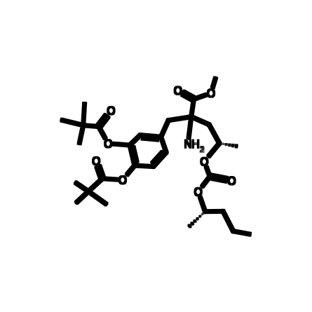 CCC[C@H](C)OC(=O)O[C@@H](C)CC(N)(Cc1ccc(OC(=O)C(C)(C)C)c(OC(=O)C(C)(C)C)c1)C(=O)OC